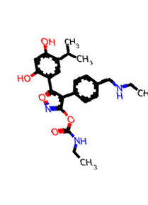 CCNCc1ccc(-c2c(OC(=O)NCC)noc2-c2cc(C(C)C)c(O)cc2O)cc1